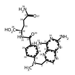 CN(Cc1cnc2nc(N)nc(N)c2n1)c1ccc(C(=O)N[C@H](CCC(N)=O)C(=O)O)cc1